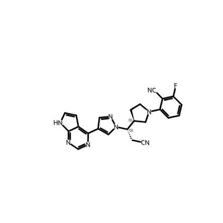 N#CC[C@@H]([C@H]1CCN(c2cccc(F)c2C#N)C1)n1cc(-c2ncnc3[nH]ccc23)cn1